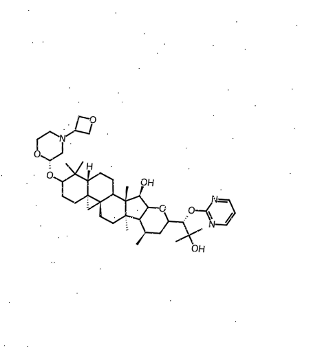 C[C@@H]1CC([C@H](Oc2ncccn2)C(C)(C)O)OC2C1[C@@]1(C)CC[C@@]34C[C@@]35CCC(O[C@H]3CN(C6COC6)CCO3)C(C)(C)[C@@H]5CCC4[C@]1(C)[C@H]2O